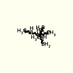 BCCCNC(C)(NCCCBCCCC)C(CCCB)CCCC